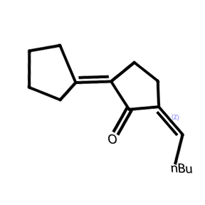 CCCC/C=C1/CCC(=C2CCCC2)C1=O